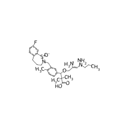 CCCN(N)/C=C(\N)COC(c1ccc(C)c(CN2CCCc3ccc(F)cc3[S+]2[O-])c1)C(C)(C)C(=O)O